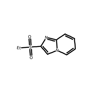 CCS(=O)(=O)c1cn2ccccc2n1